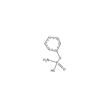 NP(=O)(S)Oc1ccccc1